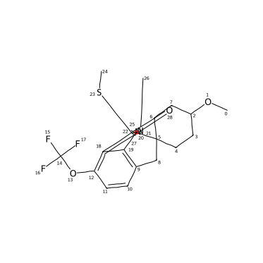 COC1CCC2(CC1)Cc1ccc(OC(F)(F)F)cc1C21N=C(SC)N(C)C1=O